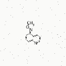 CON=C1C=CC=C2[N]C=CC=C21